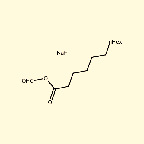 CCCCCCCCCCCC(=O)OC=O.[NaH]